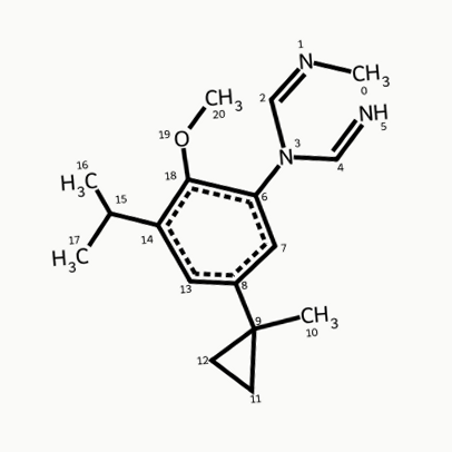 C/N=C\N(C=N)c1cc(C2(C)CC2)cc(C(C)C)c1OC